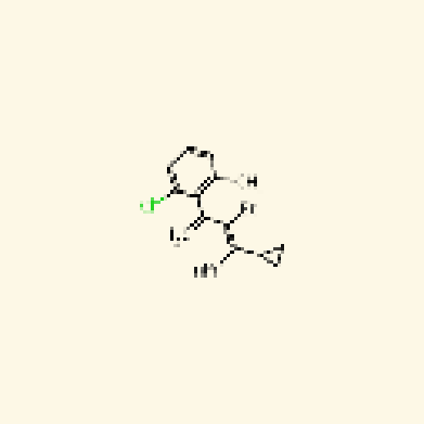 C=C(/C(CC)=C(\CCC)C1CC1)c1c(C)cccc1Cl